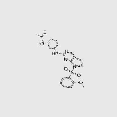 COc1ccccc1S(=O)(=O)n1ccc2cnc(Nc3cccc(NC(C)=O)c3)nc21